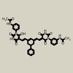 CC(=O)Nc1cccc(N2C(=O)NC(=O)/C(=C\C=C3C=C(/C=C/c4c(O)n(-c5cccc(NC(C)=O)c5)c(=O)[nH]c4=O)CC(c4ccccc4)C\3)C2=O)c1